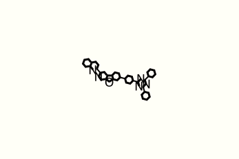 c1ccc(-c2nc(-c3ccccc3)nc(-c3ccc(-c4ccc5c(c4)oc4cnc(-c6ccc7ccccc7n6)cc45)cc3)n2)cc1